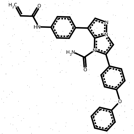 C=CC(=O)Nc1ccc(-c2cnn3cc(-c4ccc(Oc5ccccc5)cc4)n(C(N)=O)c23)cc1